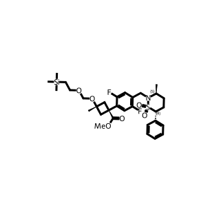 COC(=O)[C@]1(c2cc(F)c(CN3[C@@H](C)CC[C@H](c4ccccc4)S3(=O)=O)cc2F)C[C@@](C)(OCOCC[Si](C)(C)C)C1